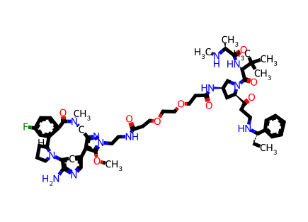 CC[C@H](NCCC(=O)[C@H]1C[C@@H](NC(=O)CCOCCOCCC(=O)NCCn2nc3c(c2OC)-c2cnc(N)c(c2)N2CCC[C@@H]2c2cc(F)ccc2C(=O)N(C)C3)CN1C(=O)[C@H](NC(=O)[C@@H](C)NC)C(C)(C)C)c1ccccc1